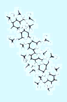 CC(=O)OCC1OC(OC2C(COC(C)=O)OC(OC3C(COC(C)=O)OC(C4OC(COC(C)=O)C(OC5OC(COC(C)=O)C(OC6OC(COC(C)=O)C(OC(C)=O)C(OC(C)=O)C6C)C(O)C5OC(C)=O)C(OC(C)=O)C4C)C(OC(C)=O)C3OC(C)=O)C(OC(C)=O)C2OC(C)=O)C(OC(C)=O)C(C)C1OC(C)=O